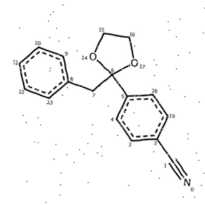 N#Cc1ccc(C2(Cc3ccccc3)OCCO2)cc1